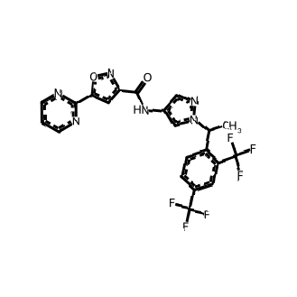 CC(c1ccc(C(F)(F)F)cc1C(F)(F)F)n1cc(NC(=O)c2cc(-c3ncccn3)on2)cn1